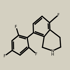 Fc1cc(F)c(-c2ccc(F)c3c2CNCC3)c(F)c1